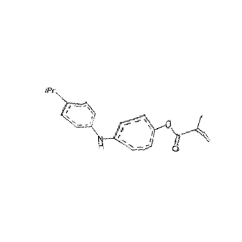 C=C(C)C(=O)Oc1ccc(Nc2ccc(C(C)C)cc2)cc1